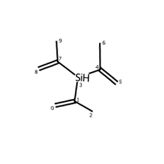 C=C(C)[SiH](C(=C)C)C(=C)C